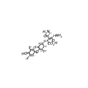 NCC(=O)N(C(=O)CN)C(Cc1cc(I)c(Oc2cc(I)c(O)c(I)c2)c(I)c1)C(=O)O